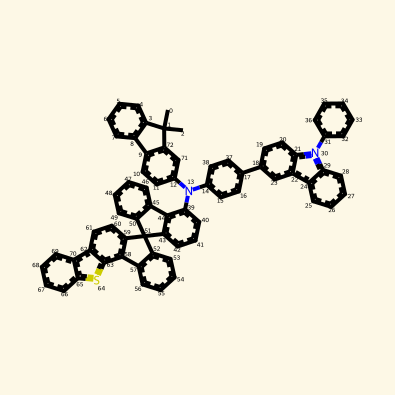 CC1(C)c2ccccc2-c2ccc(N(c3ccc(-c4ccc5c(c4)c4ccccc4n5-c4ccccc4)cc3)c3cccc4c3-c3ccccc3C43c4ccccc4-c4c3ccc3c4sc4ccccc43)cc21